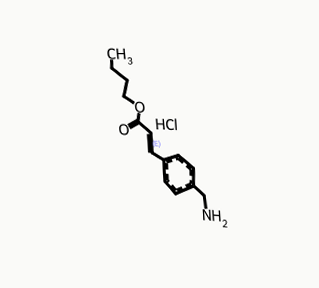 CCCCOC(=O)/C=C/c1ccc(CN)cc1.Cl